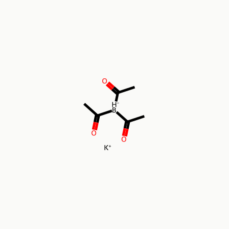 CC(=O)[BH-](C(C)=O)C(C)=O.[K+]